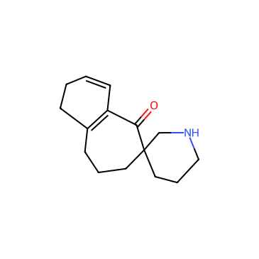 O=C1C2=C(CCC=C2)CCCC12CCCNC2